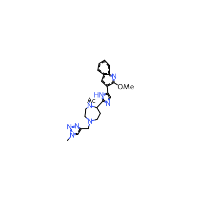 COc1nc2ccccc2cc1-c1cnc(C2CCN(Cc3cn(C)nn3)CCN2C(C)=O)[nH]1